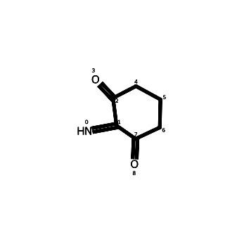 N=C1C(=O)CCCC1=O